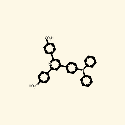 O=C(O)c1ccc(-c2cc(-c3ccc(N(c4ccccc4)c4ccccc4)cc3)cc(-c3ccc(C(=O)O)cc3)n2)cc1